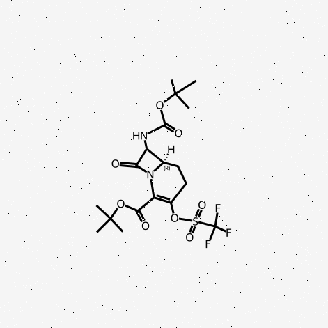 CC(C)(C)OC(=O)NC1C(=O)N2C(C(=O)OC(C)(C)C)=C(OS(=O)(=O)C(F)(F)F)CC[C@H]12